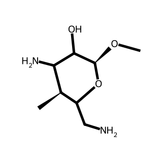 CO[C@H]1OC(CN)[C@@H](C)C(N)C1O